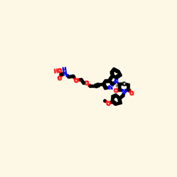 COc1ccc(CN2C(=O)CC[C@H](n3c4ccccc4c4cc(C#CCOCCOCCNC(=O)O)cnc43)C2=O)cc1